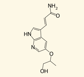 CC(CO)Oc1cnc2[nH]cc(C=CC(N)=O)c2c1